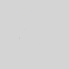 Cc1cc(N(C)C)cc2c1Nc1c(cc(N3CCN(S(=O)(=O)C4CC4)CC3)cc1C(C)C)S2